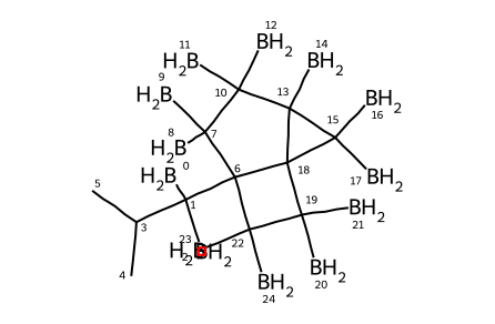 BC(B)(C(C)C)C12C(B)(B)C(B)(B)C3(B)C(B)(B)C31C(B)(B)C2(B)B